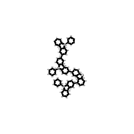 c1ccc(-n2c3ccccc3c3cc(-c4ccc5c(c4)c4cc(-c6ccc7oc8cccc(-c9ccc%10c(c9)c9ccccc9n%10-c9ccccc9)c8c7c6)ccc4n5-c4ccccc4)ccc32)cc1